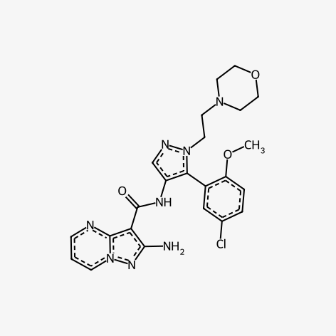 COc1ccc(Cl)cc1-c1c(NC(=O)c2c(N)nn3cccnc23)cnn1CCN1CCOCC1